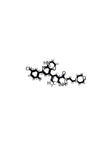 C/C=C(\C=C(/C=N)C(=O)NCCN1CCOCC1)c1cc(-c2cc(Cl)ccc2F)nc2c1OCCN2